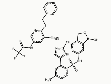 Cc1nnc(-c2cc(N)cnc2S(=O)(=O)Nc2ccc3c(c2)B(O)OC3)[nH]1.N#Cc1cc(NC(=O)C(F)(F)F)cnc1SCc1ccccc1